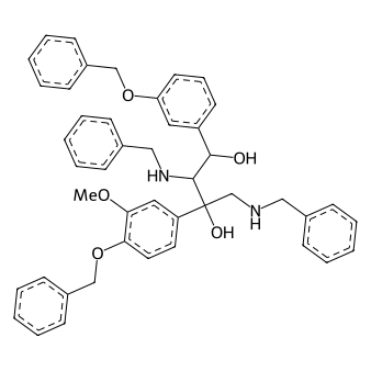 COc1cc(C(O)(CNCc2ccccc2)C(NCc2ccccc2)C(O)c2cccc(OCc3ccccc3)c2)ccc1OCc1ccccc1